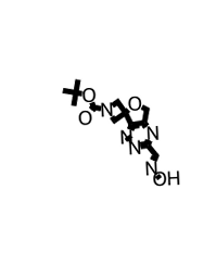 CC(C)(C)OC(=O)N1CC2(C1)OCc1nc(/C=N/O)nnc12